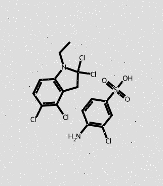 CCN1c2ccc(Cl)c(Cl)c2CC1(Cl)Cl.Nc1ccc(S(=O)(=O)O)cc1Cl